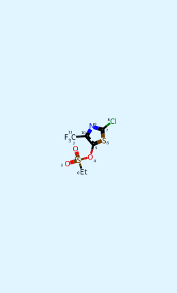 CCS(=O)(=O)Oc1sc(Cl)nc1C(F)(F)F